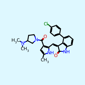 Cc1cc(C(=O)N2CCC(N(C)C)C2)c(/C=C2\C(=O)Nc3cccc(-c4ccc(Cl)cc4)c32)[nH]1